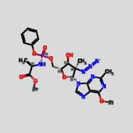 CCOc1nc(C)nc2c1ncn2[C@@H]1O[C@H](CO[P@@](=O)(N[C@H](C)C(=O)OC(C)C)Oc2ccccc2)[C@@H](O)[C@@]1(C)N=[N+]=[N-]